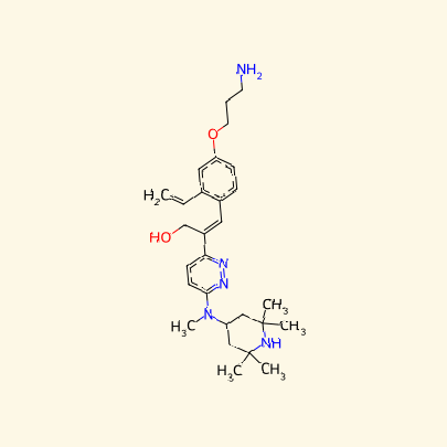 C=Cc1cc(OCCCN)ccc1/C=C(\CO)c1ccc(N(C)C2CC(C)(C)NC(C)(C)C2)nn1